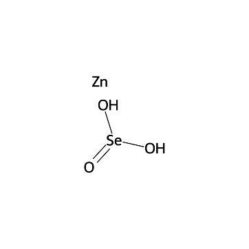 O=[Se](O)O.[Zn]